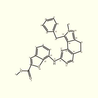 COC(=O)c1cc2cccc(Nc3ncc4c(n3)-c3c(nn(C)c3Cc3ccccc3)CC4)c2o1